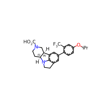 CC(C)Oc1ccc(-c2cc3c4c(c2)[C@@H]2CN(C(=O)O)CC[C@@H]2N4CC3)c(C(F)(F)F)c1